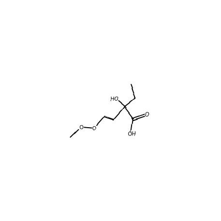 CCC(O)(CCOOC)C(=O)O